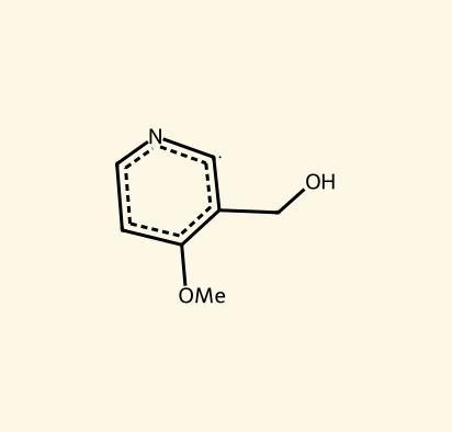 COc1ccn[c]c1CO